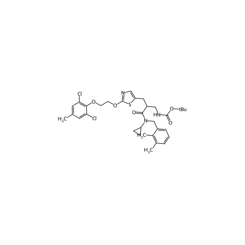 Cc1cc(Cl)c(OCCOc2ncc(CC(CNC(=O)OC(C)(C)C)C(=O)N(Cc3cccc(C)c3C)C3CC3)s2)c(Cl)c1